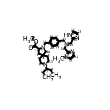 CCC(CC)N1CCC2(CC1)CC(C(=O)OC)N(Cc1ccc(CN(Cc3ncc[nH]3)Cc3nccn3C)cc1)C2